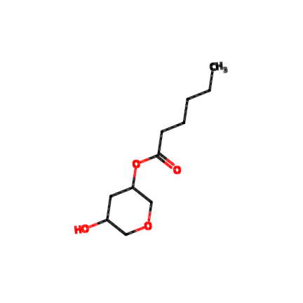 CCCCCC(=O)OC1COCC(O)C1